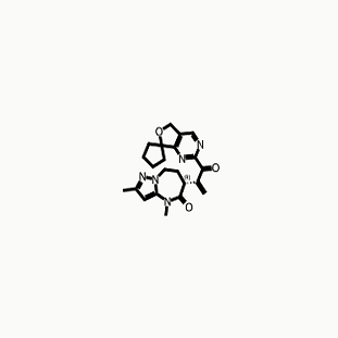 C=C(C(=O)c1ncc2c(n1)C1(CCCC1)OC2)[C@H]1CCn2nc(C)cc2N(C)C1=O